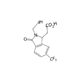 CC(C)CN1C(=O)c2ccc(C(F)(F)F)cc2C1CC(=O)O